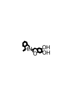 C=Cc1ccccc1CN[C@@H]1COc2cc(O)c(O)cc2C1